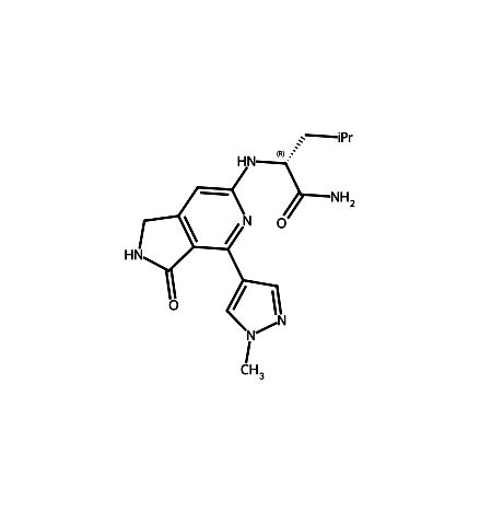 CC(C)C[C@@H](Nc1cc2c(c(-c3cnn(C)c3)n1)C(=O)NC2)C(N)=O